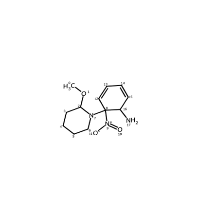 COC1CCCCN1C1([N+](=O)[O-])C=CC=CC1N